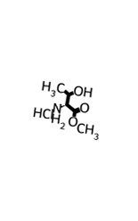 COC(=O)[C@H](N)C(C)O.Cl